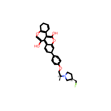 C[C@@H](COc1ccc(C2C=CC3=C4C(O)=COC5=C(C=CCC5)C4=C(O)OC3=C2)cc1)N1CC[C@@H](CF)C1